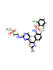 CC(C)c1nc(-c2ccc(F)c(NS(=O)(=O)c3c(F)cccc3F)c2)c(-c2ccnc(NCCS(C)(=O)=O)n2)s1